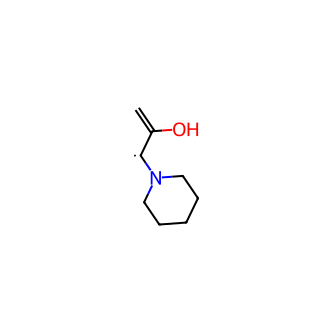 C=C(O)[CH]N1CCCCC1